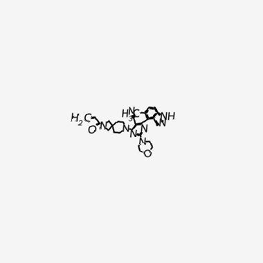 C=CC(=O)N1CC2(CCN(c3nc(N4CCOCC4)nc(-c4c(C)ccc5[nH]ncc45)c3C#N)CC2)C1